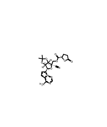 CC1(C)O[C@H]2[C@H](c3ccc4c(N)ncnn34)O[C@](C#N)(COC(=O)[C@H]3CCC(=O)O3)[C@H]2O1